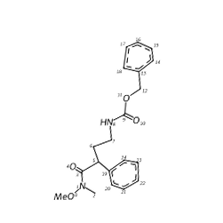 CON(C)C(=O)C(CCNC(=O)OCc1ccccc1)c1ccccc1